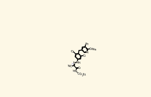 CCOC(=O)NC(=O)/C(C#N)=N\Nc1cc(Cl)c(Cc2cnc(OC)c(C(C)C)c2)c(Cl)c1